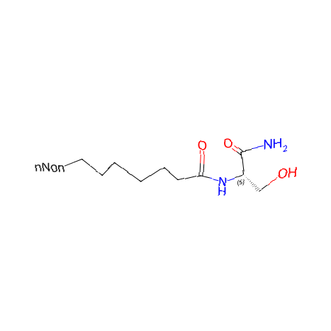 CCCCCCCCCCCCCCCC(=O)N[C@@H](CO)C(N)=O